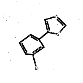 Brc1cccc(-c2cncs2)c1